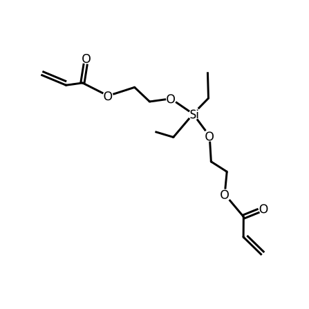 C=CC(=O)OCCO[Si](CC)(CC)OCCOC(=O)C=C